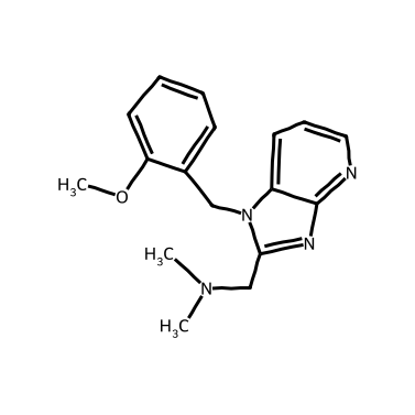 COc1ccccc1Cn1c(CN(C)C)nc2ncccc21